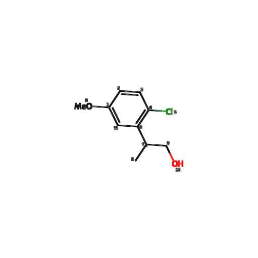 COc1ccc(Cl)c([C](C)CO)c1